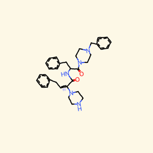 O=C(NC(Cc1ccccc1)C(=O)N1CCN(Cc2ccccc2)CC1)/C(=C\Cc1ccccc1)N1CCNCC1